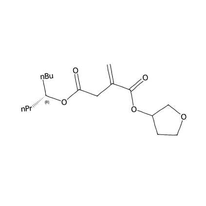 C=C(CC(=O)O[C@H](CCC)CCCC)C(=O)OC1CCOC1